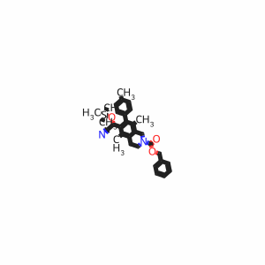 Cc1ccc(-c2c(C)c3c(c(C)c2C(C#N)O[Si](C)(C)C)CCN(C(=O)OCc2ccccc2)C3)cc1